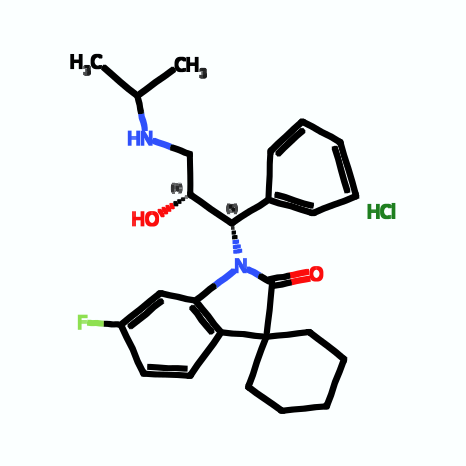 CC(C)NC[C@@H](O)[C@H](c1ccccc1)N1C(=O)C2(CCCCC2)c2ccc(F)cc21.Cl